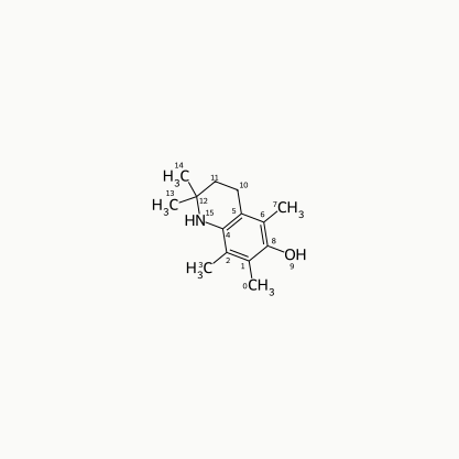 Cc1c(C)c2c(c(C)c1O)CCC(C)(C)N2